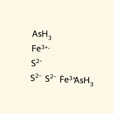 [AsH3].[AsH3].[Fe+3].[Fe+3].[S-2].[S-2].[S-2]